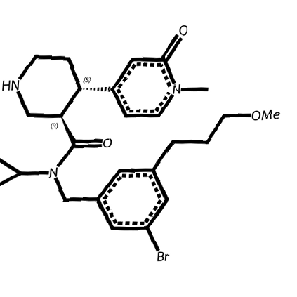 COCCCc1cc(Br)cc(CN(C(=O)[C@H]2CNCC[C@@H]2c2ccn(C)c(=O)c2)C2CC2)c1